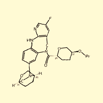 CC(C)O[C@H]1CC[C@H](C(=O)N2Cc3cc(F)cnc3Nc3ccc(N4C[C@H]5CC[C@@H]4CO5)cc32)OC1